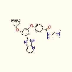 COCC(C)Oc1cc(Oc2ccc(C(=O)NC(C)CN(C)C)cc2)cc(-c2nc3cccnc3[nH]2)c1